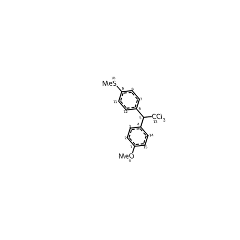 COc1ccc(C(c2ccc(SC)cc2)C(Cl)(Cl)Cl)cc1